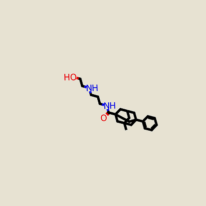 CC12CC3CC(C(=O)NCCCNCCO)(C1)CC(c1ccccc1)(C3)C2